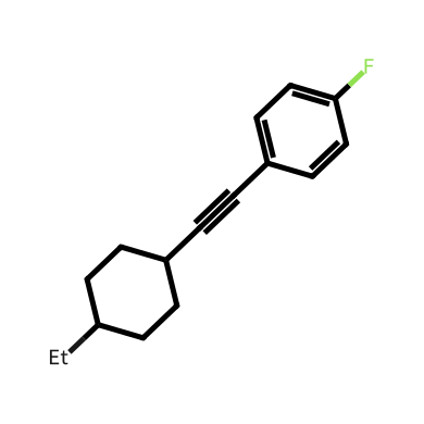 CCC1CCC(C#Cc2ccc(F)cc2)CC1